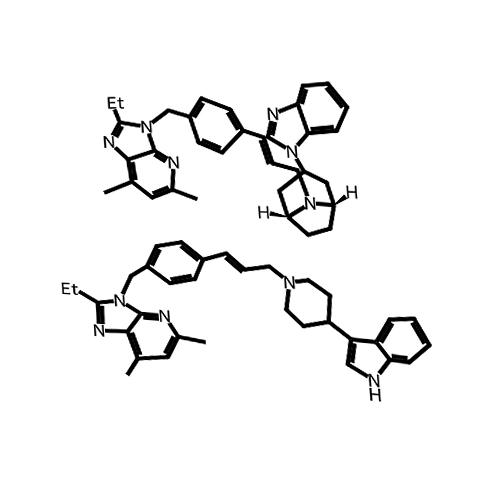 CCc1nc2c(C)cc(C)nc2n1Cc1ccc(C=CCN2CCC(c3c[nH]c4ccccc34)CC2)cc1.CCc1nc2c(C)cc(C)nc2n1Cc1ccc(C=CCN2[C@@H]3CC[C@H]2CC(n2cnc4ccccc42)C3)cc1